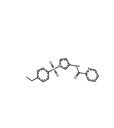 CCc1ccc(S(=O)(=O)n2ccc(NC(=O)c3ccccn3)c2)cc1